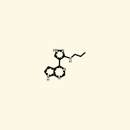 CCCNc1n[nH]cc1-c1ncnc2[nH]ccc12